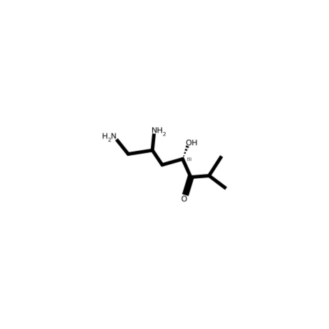 CC(C)C(=O)[C@@H](O)CC(N)CN